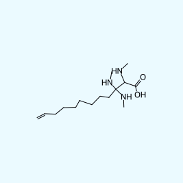 C=CCCCCCCCC(NC)(NC)C(NC)C(=O)O